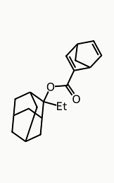 CCC1(OC(=O)C2=CC3C=CC2C3)C2CC3CC(C2)CC1C3